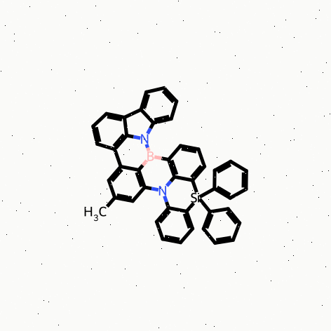 Cc1cc2c3c(c1)N1c4ccccc4[Si](c4ccccc4)(c4ccccc4)c4cccc(c41)B3n1c3ccccc3c3cccc-2c31